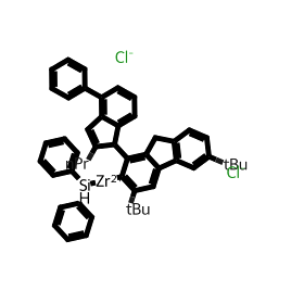 CCCC1=Cc2c(-c3ccccc3)cccc2C1c1c2c(cc(C(C)(C)C)[c]1[Zr+2][SiH](c1ccccc1)c1ccccc1)-c1cc(C(C)(C)C)ccc1C2.[Cl-].[Cl-]